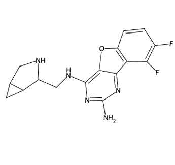 Nc1nc(NCC2NCC3CC32)c2oc3ccc(F)c(F)c3c2n1